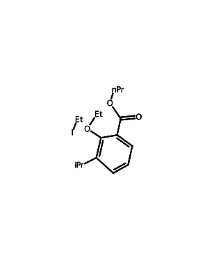 CCCOC(=O)c1cccc(C(C)C)c1OCC.CCI